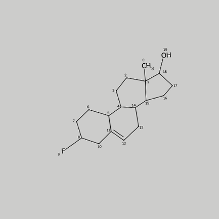 CC12CCC3C4CCC(F)CC4=CCC3C1CCC2O